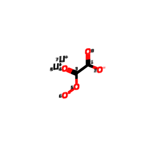 O=C([O-])C(=O)O[O-].[Li+].[Li+]